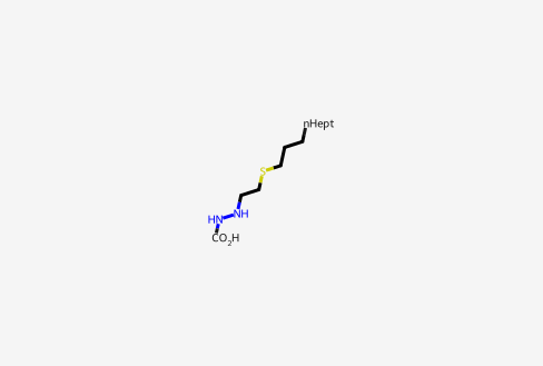 CCCCCCCCCCSCCNNC(=O)O